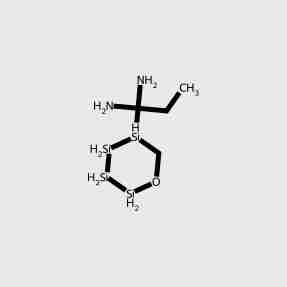 CCC(N)(N)[SiH]1CO[SiH2][SiH2][SiH2]1